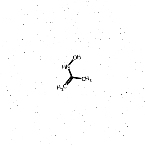 C=C(C)NO